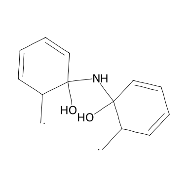 [CH2]C1C=CC=CC1(O)NC1(O)C=CC=CC1[CH2]